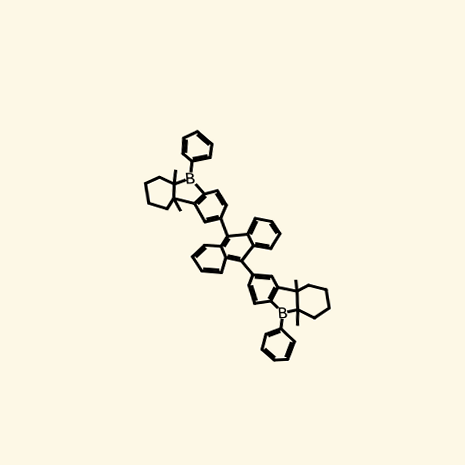 CC12CCCCC1(C)c1cc(-c3c4ccccc4c(-c4ccc5c(c4)C4(C)CCCCC4(C)B5c4ccccc4)c4ccccc34)ccc1B2c1ccccc1